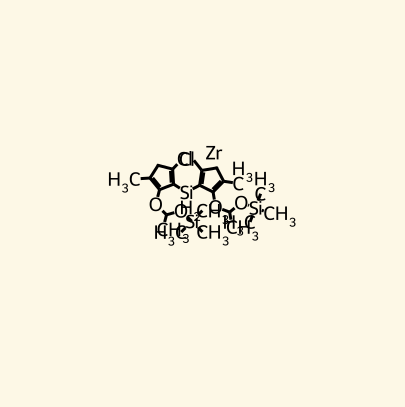 CC1=C(OC(C)O[Si](C)(C)C)C([SiH2]C2=C(Cl)CC(C)=C2OC(C)O[Si](C)(C)C)=C(Cl)C1.[Zr]